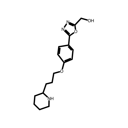 OCc1nnc(-c2ccc(OCCCC3CCCCN3)cc2)o1